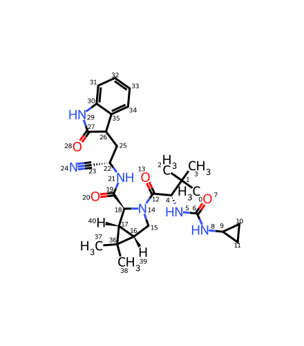 CC(C)(C)[C@H](NC(=O)NC1CC1)C(=O)N1C[C@H]2[C@@H]([C@H]1C(=O)N[C@H](C#N)CC1C(=O)Nc3ccccc31)C2(C)C